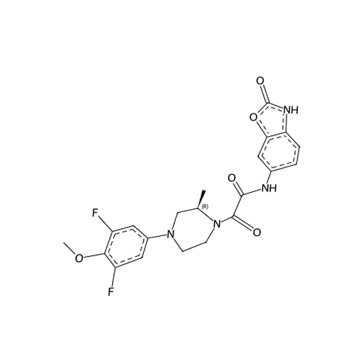 COc1c(F)cc(N2CCN(C(=O)C(=O)Nc3ccc4[nH]c(=O)oc4c3)[C@H](C)C2)cc1F